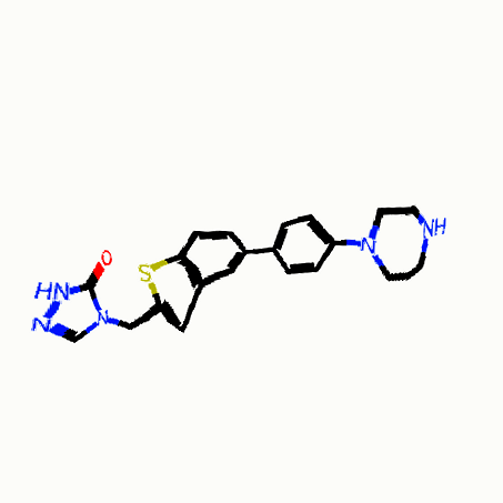 O=c1[nH]ncn1Cc1cc2cc(-c3ccc(N4CCNCC4)cc3)ccc2s1